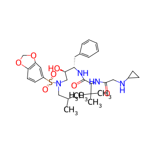 CC(C)CN(C[C@@H](O)[C@H](Cc1ccccc1)NC(=O)[C@@H](NC(=O)CNC1CC1)C(C)(C)C)S(=O)(=O)c1ccc2c(c1)OCO2